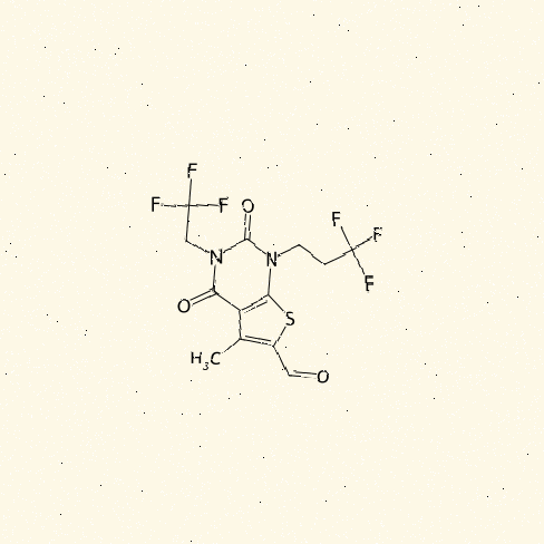 Cc1c(C=O)sc2c1c(=O)n(CC(F)(F)F)c(=O)n2CCC(F)(F)F